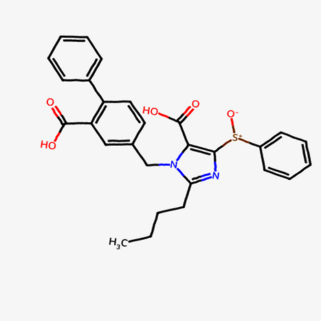 CCCCc1nc([S+]([O-])c2ccccc2)c(C(=O)O)n1Cc1ccc(-c2ccccc2)c(C(=O)O)c1